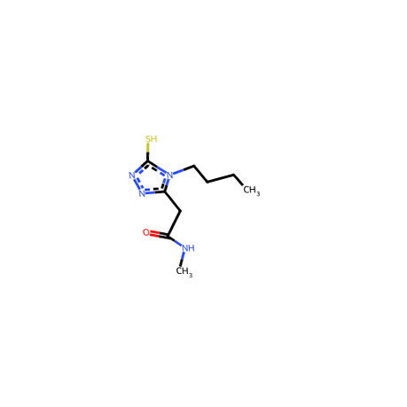 CCCCn1c(S)nnc1CC(=O)NC